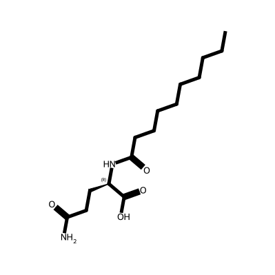 CCCCCCCCCC(=O)N[C@H](CCC(N)=O)C(=O)O